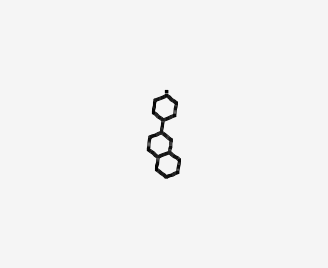 [CH]1CCC(C2CCC3CCCCC3C2)CC1